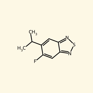 CC(C)c1cc2nsnc2cc1F